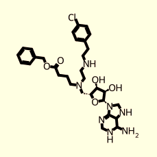 NC1NCN=C2C1NCN2[C@@H]1O[C@H](CN(CCCC(=O)OCc2ccccc2)CCNCCc2ccc(Cl)cc2)[C@@H](O)[C@H]1O